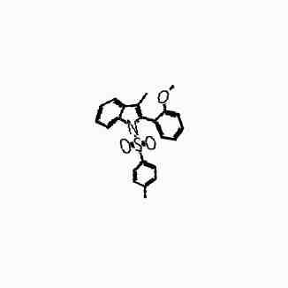 COc1ccccc1-c1c(C)c2ccccc2n1S(=O)(=O)c1ccc(C)cc1